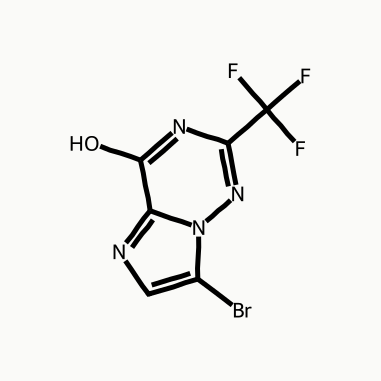 Oc1nc(C(F)(F)F)nn2c(Br)cnc12